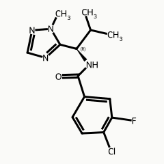 CC(C)[C@@H](NC(=O)c1ccc(Cl)c(F)c1)c1ncnn1C